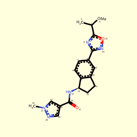 COC(C)c1nc(-c2ccc3c(c2)CC[C@H]3NC(=O)c2cnn(C)c2)no1